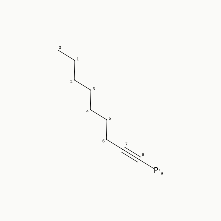 CCCCCCCC#C[P]